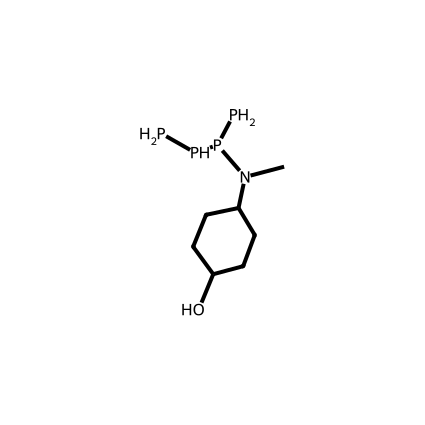 CN(C1CCC(O)CC1)P(P)PP